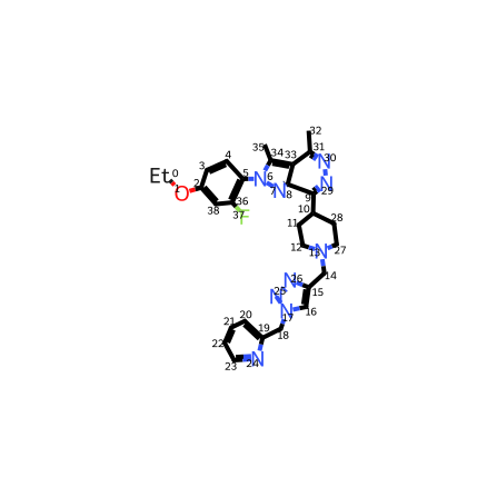 CCOc1ccc(-n2nc3c(C4CCN(Cc5cn(Cc6ccccn6)nn5)CC4)nnc(C)c3c2C)c(F)c1